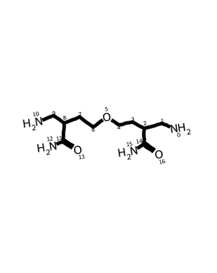 NCC(CCOCCC(CN)C(N)=O)C(N)=O